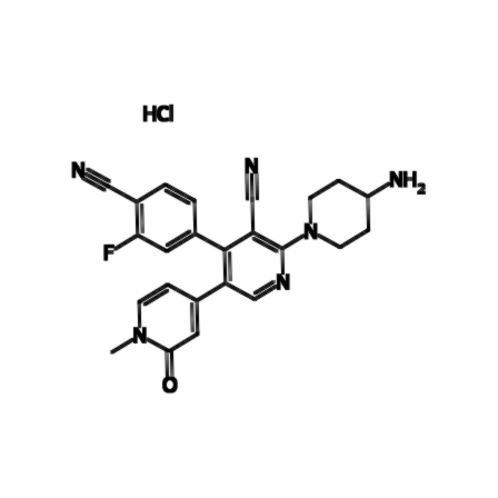 Cl.Cn1ccc(-c2cnc(N3CCC(N)CC3)c(C#N)c2-c2ccc(C#N)c(F)c2)cc1=O